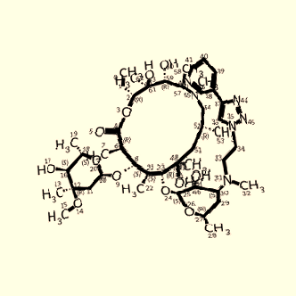 CC[C@H]1OC(=O)[C@H](C)[C@@H](O[C@H]2C[C@@](C)(OC)[C@@H](O)[C@H](C)O2)[C@H](C)[C@@H](O[C@@H]2O[C@H](C)C[C@H](N(C)CCn3cc(-c4cccnc4)nn3)[C@H]2O)[C@](C)(O)C[C@@H](C)CN(C)[C@H](C)[C@@H](O)[C@]1(C)O